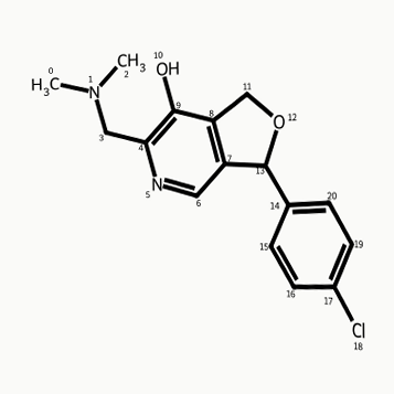 CN(C)Cc1ncc2c(c1O)COC2c1ccc(Cl)cc1